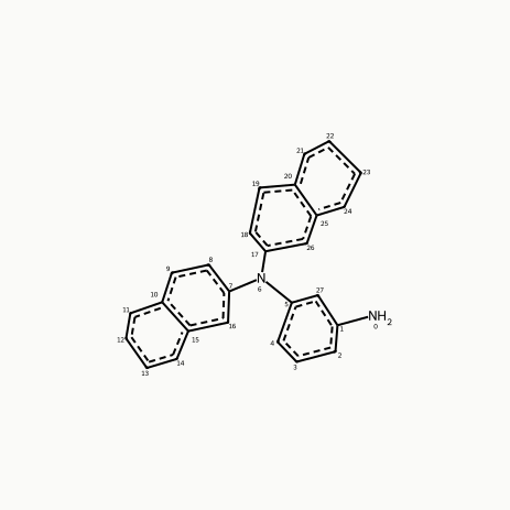 Nc1cccc(N(c2ccc3ccccc3c2)c2ccc3ccccc3c2)c1